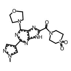 Cn1cc(-c2nc(N3CCOCC3)c3nc(C(=O)N4CCS(=O)(=O)CC4)[nH]c3n2)cn1